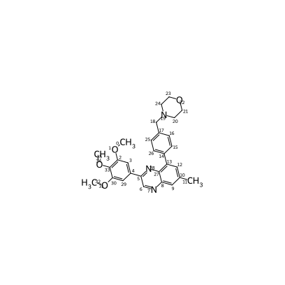 COc1cc(-c2cnc3cc(C)cc(-c4ccc(CN5CCOCC5)cc4)c3n2)cc(OC)c1OC